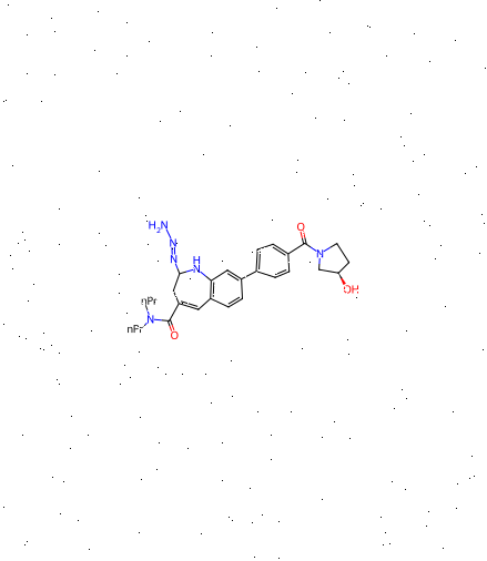 CCCN(CCC)C(=O)C1=Cc2ccc(-c3ccc(C(=O)N4CC[C@@H](O)C4)cc3)cc2NC(N=NN)C1